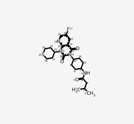 CC(C)CC(=O)NC1CCC(n2c(=O)c3cc(F)cnc3n(C3CCSCC3)c2=O)CC1